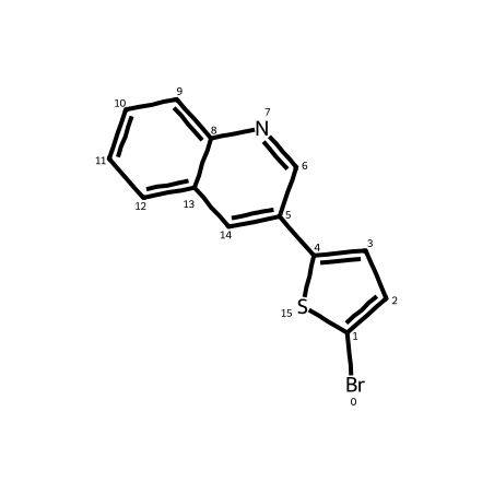 Brc1ccc(-c2cnc3ccccc3c2)s1